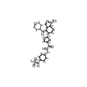 CCn1ncc2c(NC3CCOCC3)c(-c3nc(C(=O)NCc4ccc(NS(C)(=O)=O)cc4)co3)cnc21